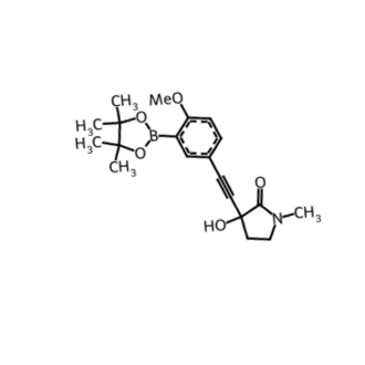 COc1ccc(C#CC2(O)CCN(C)C2=O)cc1B1OC(C)(C)C(C)(C)O1